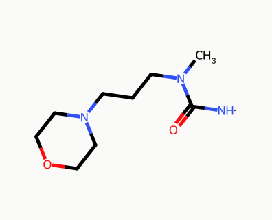 CN(CCCN1CCOCC1)C([NH])=O